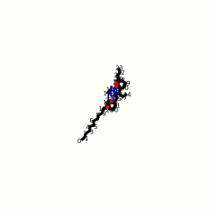 CCCCCCCCCCCCCCN1C=CN(CCCCCC)C1(Cc1ccccc1)C(CC)c1ccccc1